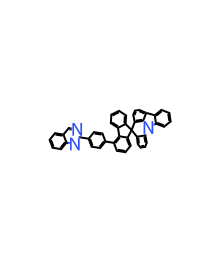 c1ccc2c(c1)-c1c(-c3ccc(-c4ncc5ccccc5n4)cc3)cccc1C21c2ccccc2-n2c3ccccc3c3cccc1c32